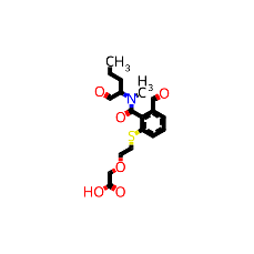 CCCC(C=O)N(C)C(=O)c1c(C=O)cccc1SCCOCC(=O)O